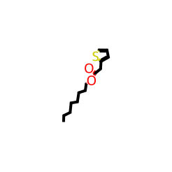 CCCCCCCCOC(=O)Cc1cccs1